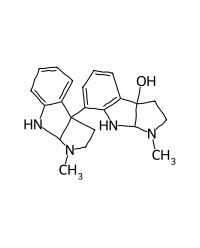 CN1CCC2(O)c3cccc(C45CCN(C)C4Nc4ccccc45)c3NC12